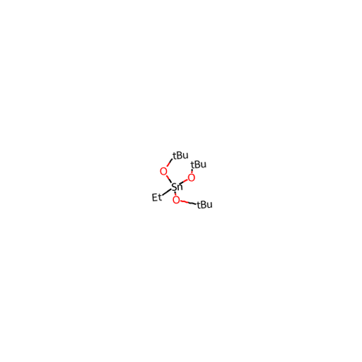 C[CH2][Sn]([O]C(C)(C)C)([O]C(C)(C)C)[O]C(C)(C)C